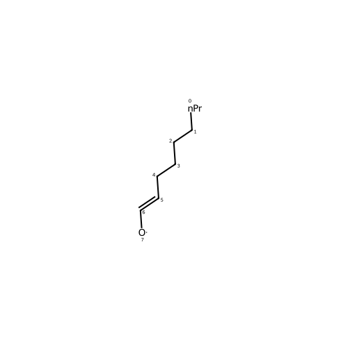 CCCCCCCC=C[O]